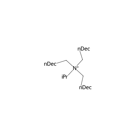 CCCCCCCCCCC[N+](CCCCCCCCCCC)(CCCCCCCCCCC)C(C)C